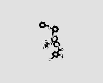 COc1cc(Cl)ccc1C(=O)N1CCC2(CCN(Cc3ccccc3OCc3ccccc3)CC2OC(=O)C(F)(F)F)CC1